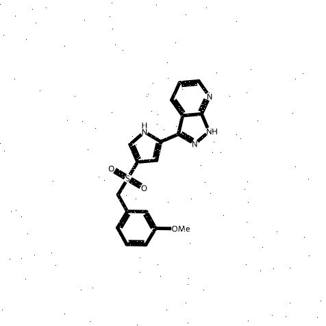 COc1cccc(CS(=O)(=O)c2c[nH]c(-c3n[nH]c4ncccc34)c2)c1